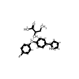 CCC(C)C(=O)O.Fc1ccc(Oc2ccc(-c3ccc[nH]3)cc2)cc1